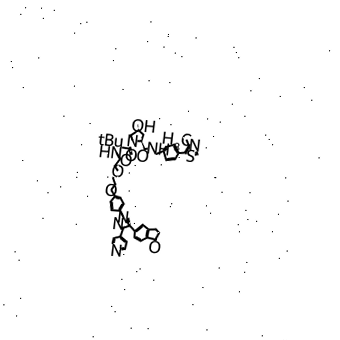 Cc1ncsc1-c1ccc(CNC(=O)[C@@H]2C[C@@H](O)CN2C(=O)C(NC(=O)COCCOc2ccc(-n3cc(-c4ccc5c(c4)CCC5=O)c(-c4ccncc4)n3)cc2)C(C)(C)C)cc1